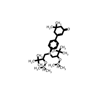 C[SiH](C)OC(CN(CC(O[SiH](C)C)C(C)(C)C)c1ccc(C2=CC(=O)CC(C)(C)C2)cc1)C(C)(C)C